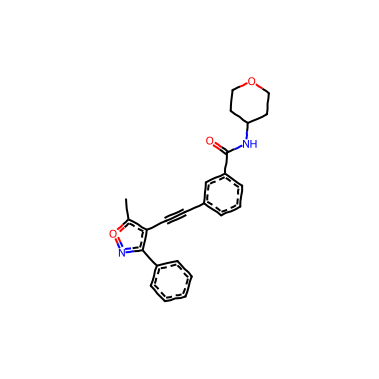 Cc1onc(-c2ccccc2)c1C#Cc1cccc(C(=O)NC2CCOCC2)c1